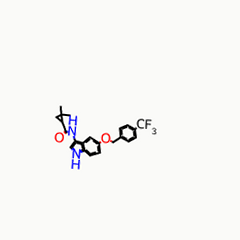 CC1(C)CC1C(=O)Nc1c[nH]c2ccc(OCc3ccc(C(F)(F)F)cc3)cc12